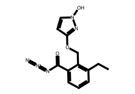 CCc1cccc(C(=O)N=[N+]=[N-])c1COc1ccn(O)n1